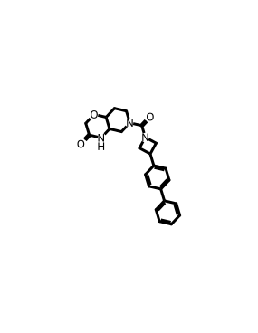 O=C1COC2CCN(C(=O)N3CC(c4ccc(-c5ccccc5)cc4)C3)CC2N1